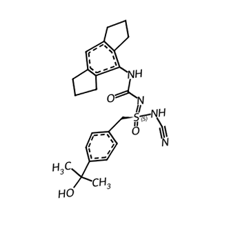 CC(C)(O)c1ccc(C[S@@](=O)(=NC(=O)Nc2c3c(cc4c2CCC4)CCC3)NC#N)cc1